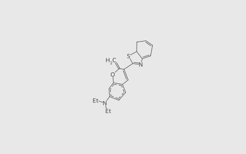 C=C1Oc2cc(N(CC)CC)ccc2C=C1C1=NC2=CC=CCC2S1